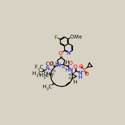 COc1cc(F)cc2c(O[C@@H]3C[C@H]4C(=O)N[C@]5(C(=O)NS(=O)(=O)C6CC6)C[C@H]5C=CCC[C@@H](C)C[C@@H](C)[C@H](N(C(=O)O)C(C)(C)C(F)(F)F)C(=O)N4C3)nccc12